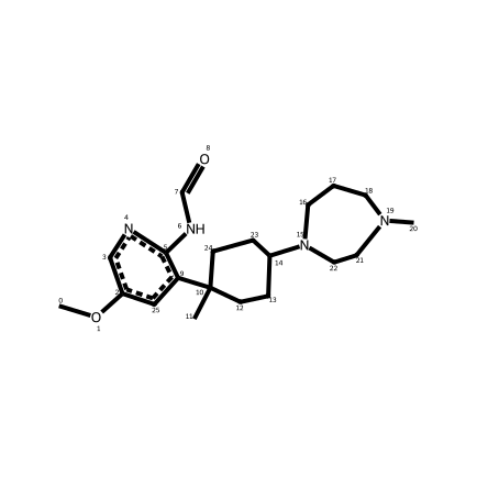 COc1cnc(NC=O)c(C2(C)CCC(N3CCCN(C)CC3)CC2)c1